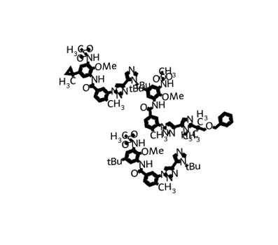 COc1c(NC(=O)c2ccc(C)c(-n3cc(-c4cnc(C(C)(C)COCc5ccccc5)n4C)nn3)c2)cc(C(C)(C)C)cc1NS(C)(=O)=O.COc1c(NC(=O)c2ccc(C)c(-n3cc(-c4cncn4C(C)(C)C)nn3)c2)cc(C(C)(C)C)cc1NS(C)(=O)=O.COc1c(NC(=O)c2ccc(C)c(-n3cc(-c4cncn4C(C)(C)C)nn3)c2)cc(C2(C)CC2)cc1NS(C)(=O)=O